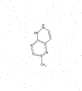 Cc1cnc2c(n1)C=CNN2